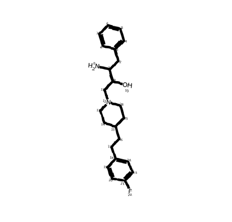 NC(Cc1ccccc1)C(O)CN1CCC(CCc2ccc(F)cc2)CC1